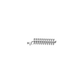 C[CH]C(F)(F)C(F)(F)C(F)(F)C(F)(F)C(F)(F)C(F)(F)C(F)(F)C(F)(F)C(F)(F)C(F)(F)C(F)(F)F